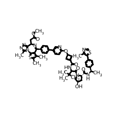 COC(=O)CC1N=C(c2ccc(-c3ccc(OC4CC(C(=O)NC(C(=O)N5C[C@H](O)C[C@H]5C(=O)NC(C)c5ccc(-c6scnc6C)cc5)C(C)(C)C)C4)nc3)cc2)c2c(sc(C)c2C)-n2c(C)nnc21